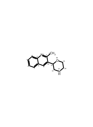 Cc1nc2ccccc2cc1C1CNCCO1